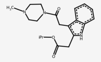 CC(C)OC(=O)Cc1[nH]c2ccccc2c1CC(=O)N1CCN(C)CC1